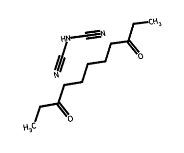 CCC(=O)CCCCCC(=O)CC.N#CNC#N